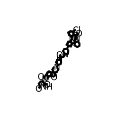 O=C1CC[C@H](N2Cc3c(ccc4c3OCC43CCN(C4CCN(C(=O)CN5CCC(c6ccc7c(c6)C6(CCCCC6)c6nc(=O)c8c(Cl)cccc8n6-7)CC5)CC4)CC3)C2=O)C(=O)N1